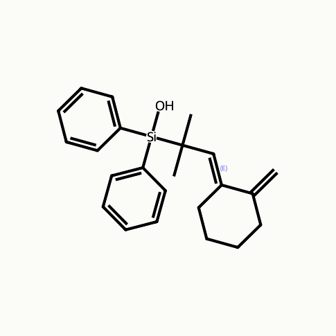 C=C1CCCC/C1=C\C(C)(C)[Si](O)(c1ccccc1)c1ccccc1